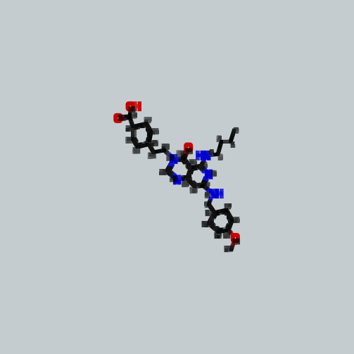 CCCCNc1nc(NCc2ccc(OC)cc2)cc2ncn(CCc3ccc(C(=O)O)cc3)c(=O)c12